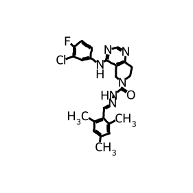 Cc1cc(C)c(/C=N/NC(=O)N2CCc3ncnc(Nc4ccc(F)c(Cl)c4)c3C2)c(C)c1